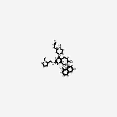 CN1CCCC1COc1nc2c(c(N3CCNC(CC#N)C3)n1)CCC(=O)N(c1cccc3cccc(Cl)c13)C2